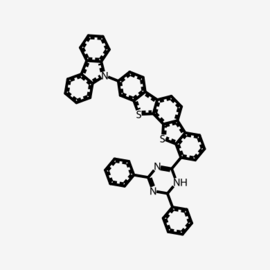 c1ccc(C2=NC(c3ccccc3)NC(c3cccc4c3sc3c4ccc4c5ccc(-n6c7ccccc7c7ccccc76)cc5sc43)=N2)cc1